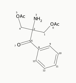 CC(=O)OCC(N)(COC(C)=O)C(=O)c1ccccc1